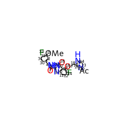 COc1cc(CNC(=O)c2nc3ccc(F)c(OCCC4CN(C(C)=O)CCN4)c3c(=O)[nH]2)ccc1F